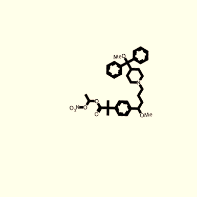 COC(CCCN1CCC(C(OC)(c2ccccc2)c2ccccc2)CC1)c1ccc(C(C)(C)C(=O)OC(C)O[N+](=O)[O-])cc1